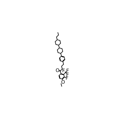 CCCC1CCC(C2CCC(c3ccc(CCCC(=O)c4ccc(OCC)c(F)c4C(F)(F)F)cc3)CC2)CC1